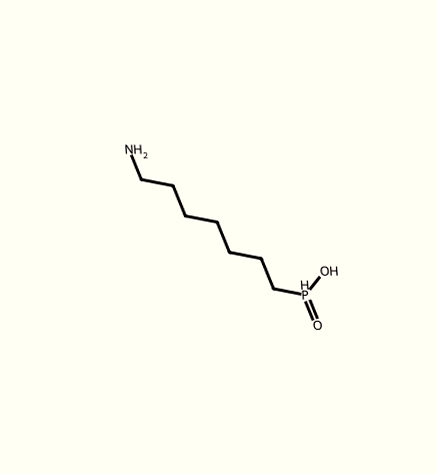 NCCCCCCC[PH](=O)O